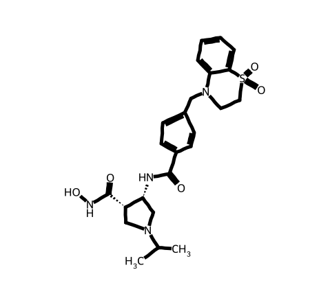 CC(C)N1C[C@H](C(=O)NO)[C@H](NC(=O)c2ccc(CN3CCS(=O)(=O)c4ccccc43)cc2)C1